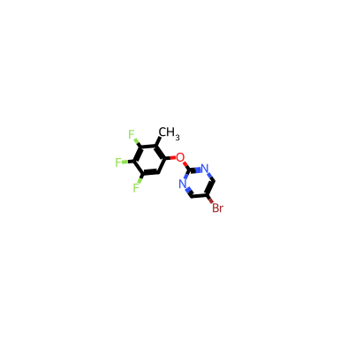 Cc1c(Oc2ncc(Br)cn2)cc(F)c(F)c1F